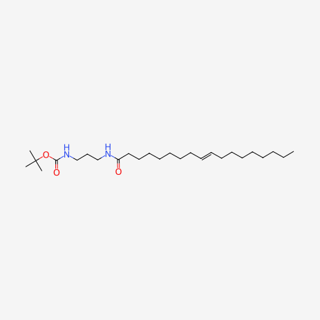 CCCCCCCCC=CCCCCCCCC(=O)NCCCNC(=O)OC(C)(C)C